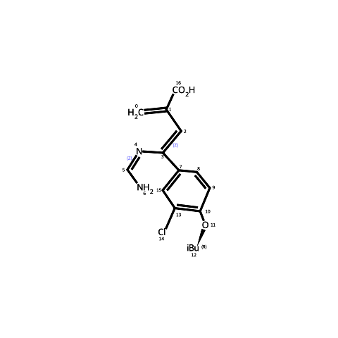 C=C(/C=C(\N=C/N)c1ccc(O[C@H](C)CC)c(Cl)c1)C(=O)O